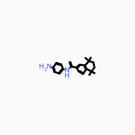 C=C(Nc1ccc(N)cc1)c1ccc2c(c1)C(C)(C)CCC2(C)C